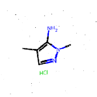 Cc1cnn(C)c1N.Cl